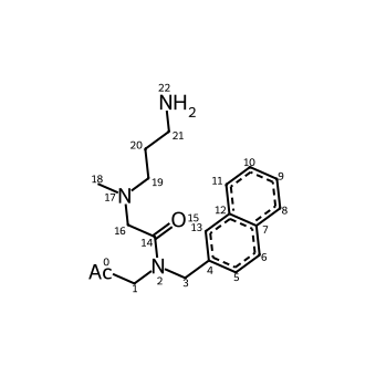 CC(=O)CN(Cc1ccc2ccccc2c1)C(=O)CN(C)CCCN